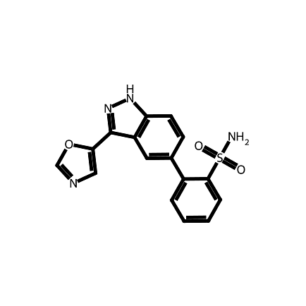 NS(=O)(=O)c1ccccc1-c1ccc2[nH]nc(-c3cnco3)c2c1